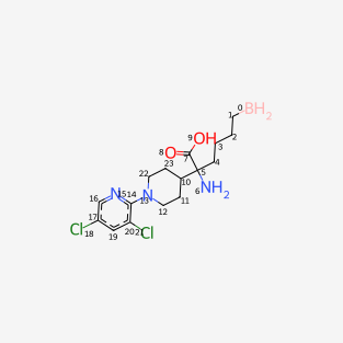 BCCCCC(N)(C(=O)O)C1CCN(c2ncc(Cl)cc2Cl)CC1